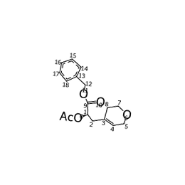 CC(=O)O[C@H](CC1=CCOCC1)C(=O)OCc1ccccc1